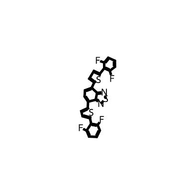 Fc1cccc(F)c1-c1ccc(-c2ccc(-c3ccc(-c4c(F)cccc4F)s3)c3nsnc23)s1